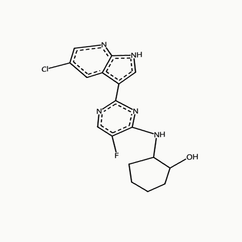 OC1CCCCC1Nc1nc(-c2c[nH]c3ncc(Cl)cc23)ncc1F